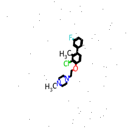 Cc1c(-c2[c]ccc(F)c2)ccc(OCCN2CCN(C)CC2)c1Cl